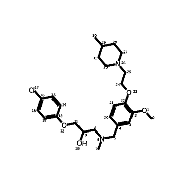 COc1cc(CN(C)CC(O)COc2ccc(Cl)cc2)ccc1OCCN1CCC(C)CC1